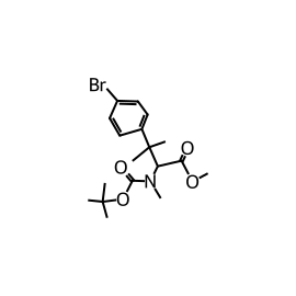 COC(=O)C(N(C)C(=O)OC(C)(C)C)C(C)(C)c1ccc(Br)cc1